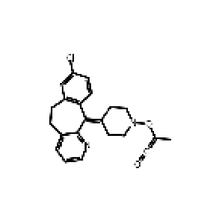 CC(=C=O)ON1CCC(=C2c3ccc(Cl)cc3CCc3cccnc32)CC1